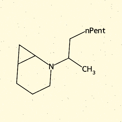 CCCCCCC(C)N1CCCC2CC21